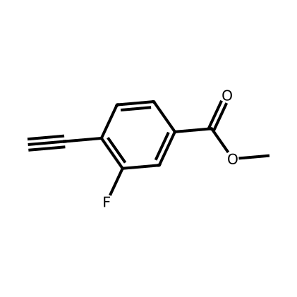 C#Cc1ccc(C(=O)OC)cc1F